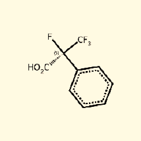 O=C(O)[C@@](F)(c1ccccc1)C(F)(F)F